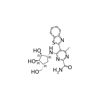 Cc1nc(C(N)=O)nc(N[C@@H]2C[C@H](CO)[C@@H](O)[C@H]2O)c1-c1nc2ccccc2s1